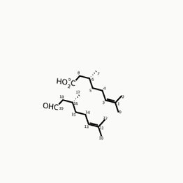 CC(C)=CCC[C@@H](C)CC(=O)O.CC(C)=CCC[C@@H](C)CC=O